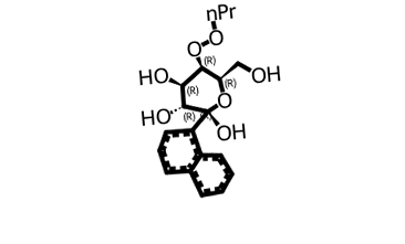 CCCOO[C@@H]1[C@H](O)[C@@H](O)[C@@](O)(c2cccc3ccccc23)O[C@@H]1CO